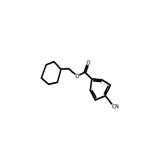 N#Cc1ccc(C(=O)OCC2CCCCC2)cc1